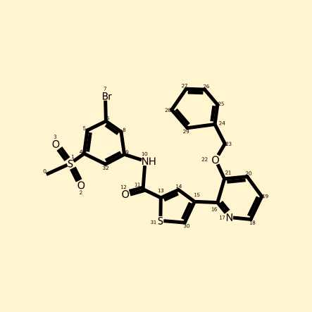 CS(=O)(=O)c1cc(Br)cc(NC(=O)c2cc(-c3ncccc3OCc3ccccc3)cs2)c1